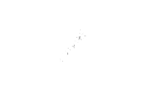 N#Cc1ccc(CNC(=O)Nc2ccc(NS(=O)(=O)c3ccccc3-c3ccccc3)cc2)cc1